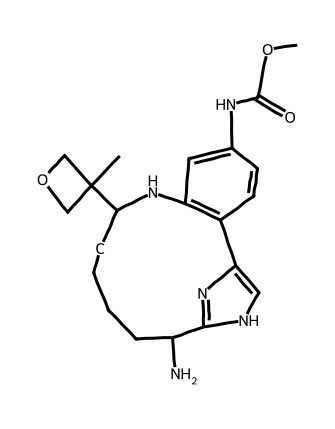 COC(=O)Nc1ccc2c(c1)NC(C1(C)COC1)CCCCC(N)c1nc-2c[nH]1